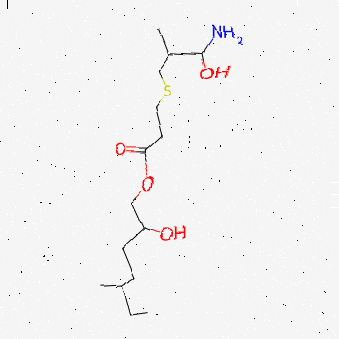 CCC(C)CCC(O)COC(=O)CCSCC(C)C(N)O